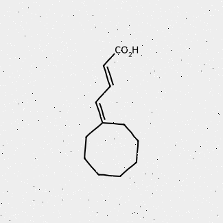 O=C(O)/C=C/C=C1CCCCCCC1